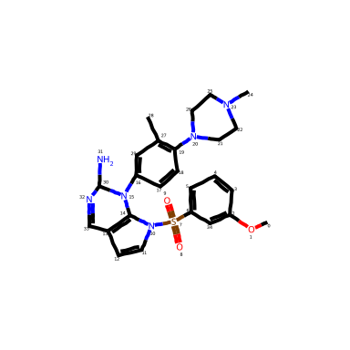 COc1cccc(S(=O)(=O)n2ccc3c2N(c2ccc(N4CCN(C)CC4)c(C)c2)C(N)N=C3)c1